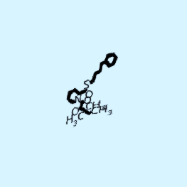 CCC(C)(C)C(=O)C(=O)N1CCCCC1C(=O)SCCCCc1ccccc1